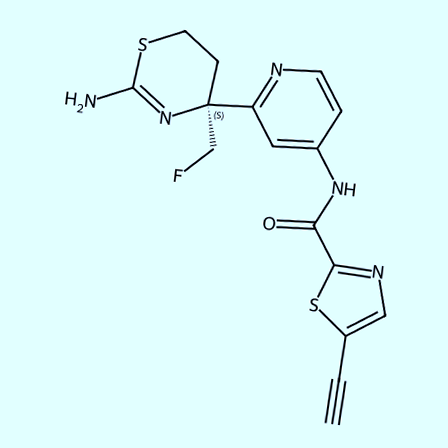 C#Cc1cnc(C(=O)Nc2ccnc([C@]3(CF)CCSC(N)=N3)c2)s1